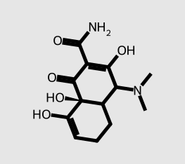 CN(C)C1C(O)=C(C(N)=O)C(=O)[C@@]2(O)C(O)=CCCC12